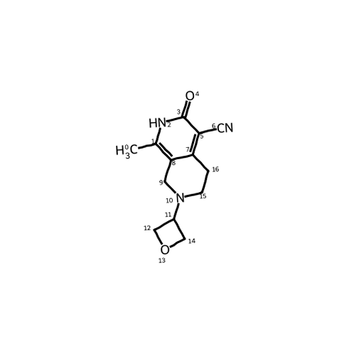 Cc1[nH]c(=O)c(C#N)c2c1CN(C1COC1)CC2